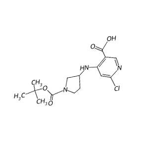 CC(C)(C)OC(=O)N1CCC(Nc2cc(Cl)ncc2C(=O)O)C1